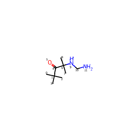 CC(C)(C)C(=O)C(C)(C)NCN